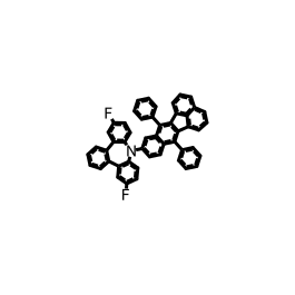 Fc1ccc2c(c1)-c1ccccc1-c1cc(F)ccc1N2c1ccc2c(-c3ccccc3)c3c(c(-c4ccccc4)c2c1)-c1cccc2cccc-3c12